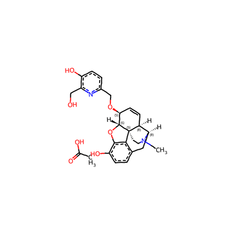 CC(=O)O.CN1CC[C@]23c4c5ccc(O)c4O[C@@H]2[C@@H](OCc2ccc(O)c(CO)n2)C=C[C@H]3[C@H]1C5